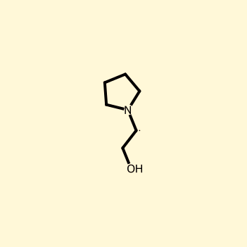 OC[CH]N1CCCC1